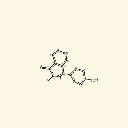 Cn1nc(-c2ccc(O)cc2)c2ccccc2c1=O